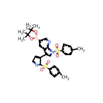 Cc1ccc(S(=O)(=O)C2N=CC=C2c2cn(S(=O)(=O)c3ccc(C)cc3)c3ncc(B4OC(C)(C)C(C)(C)O4)cc23)cc1